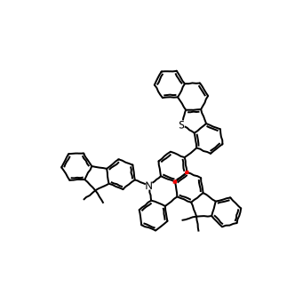 CC1(C)c2ccccc2-c2ccc(N(c3ccc(-c4cccc5c4sc4c6ccccc6ccc54)cc3)c3ccccc3-c3cccc4c3C(C)(C)c3ccccc3-4)cc21